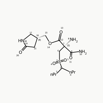 CCCC(CCC)S(=O)(=O)C[C@](N)(C(N)=O)C(=O)OC[C@H]1CNC(=O)C1